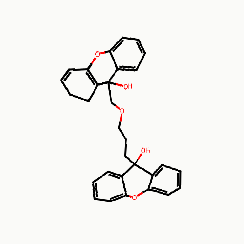 OC1(COCCCC2(O)c3ccccc3Oc3ccccc32)C2=C(C=CCC2)Oc2ccccc21